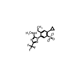 CCc1cc(C2CC2)c(S(=O)(=O)Cl)cc1-n1nc(C(F)(F)F)nc1NC